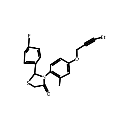 CCC#CCOc1ccc(N2C(=O)CSC2c2ccc(F)cc2)c(C)c1